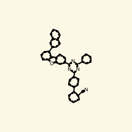 N#Cc1ccccc1-c1ccc(-c2nc(-c3ccccc3)nc(-c3ccc4c(c3)oc3cccc(-c5ccc6ccccc6c5)c34)n2)cc1